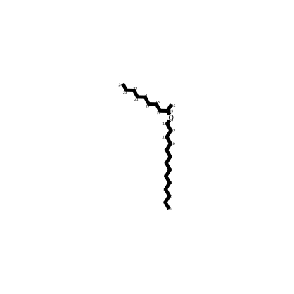 CCCCCCCCCCCCCCOC(C)CCCCCCCC